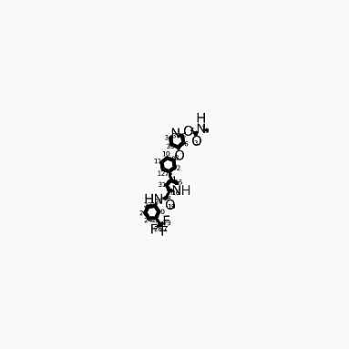 CNC(=O)Oc1cc(Oc2cccc(-c3c[nH]c(C(=O)Nc4cccc(C(F)(F)F)c4)c3)c2)ccn1